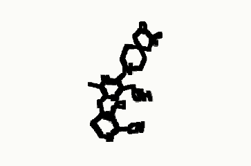 Cc1nc(N2CCC3(CC2)CO[C@@H](C)C3)c(CO)nc1Sc1ccnc(C#N)c1Cl